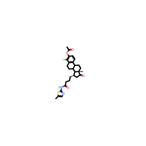 CC(=O)Oc1ccc2c(c1F)CCC1C2CC[C@]2(C)C(=O)C[C@@H](CCCC(=O)Nc3ncc(C)s3)C12